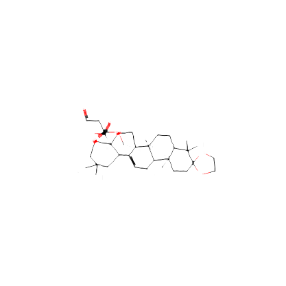 CC1(C)CC[C@]2(C(=O)O)CC[C@]3(COC(=O)CC=O)C(=CCC4[C@@]5(C)CCC6(OCCO6)C(C)(C)C5CC[C@]43C)C2C1